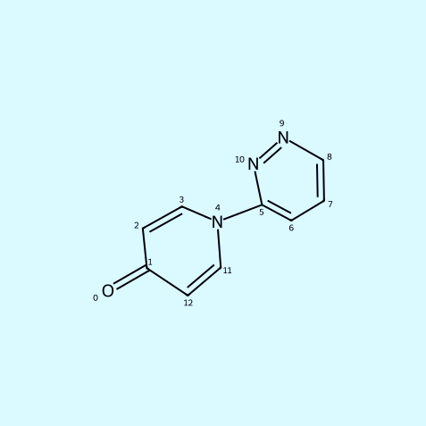 O=c1ccn(-c2cccnn2)cc1